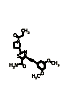 C=CC(=O)N1CCC(c2nc(C#Cc3cc(OC)cc(OC)c3)c(C(N)=O)s2)C1